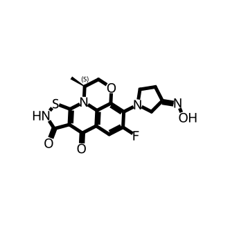 C[C@H]1COc2c(N3CCC(=NO)C3)c(F)cc3c(=O)c4c(=O)[nH]sc4n1c23